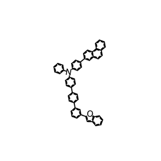 c1ccc(N(c2ccc(-c3ccc(-c4cccc(-c5cc6ccccc6o5)c4)cc3)cc2)c2ccc(-c3ccc4c(ccc5ccccc54)c3)cc2)cc1